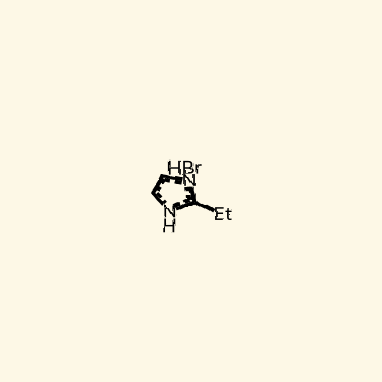 Br.CCc1ncc[nH]1